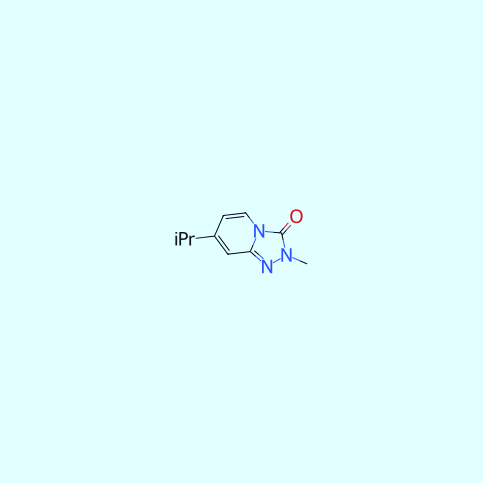 CC(C)c1ccn2c(=O)n(C)nc2c1